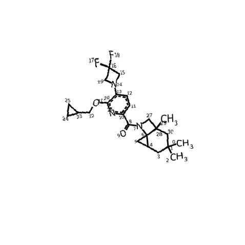 CC1(C)CC2CC23N(C(=O)c2ccc(N4CC(F)(F)C4)c(OCC4CC4)n2)CC3(C)C1